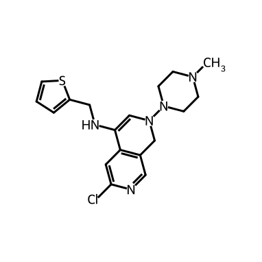 CN1CCN(N2C=C(NCc3cccs3)c3cc(Cl)ncc3C2)CC1